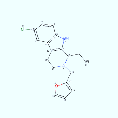 CC(C)CC1c2[nH]c3ccc(Cl)cc3c2CCN1Cc1ccco1